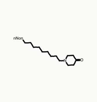 CCCCCCCCCCCCCCCCCCN1CCC(=O)CC1